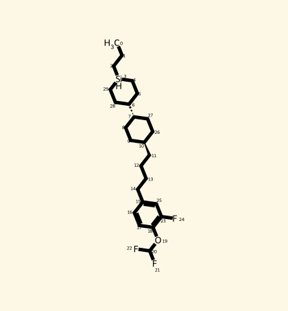 CCC[SiH]1CCC([C@H]2CC[C@H](CCCCc3ccc(OC(F)F)c(F)c3)CC2)CC1